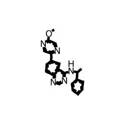 COc1cnc(-c2ccc3ncnc(NC(C)c4ccccc4)c3c2)cn1